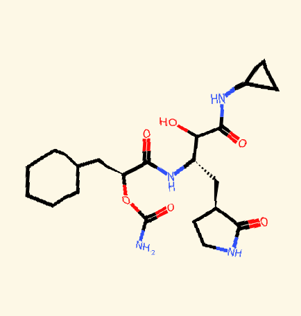 NC(=O)O[C@@H](CC1CCCCC1)C(=O)N[C@@H](C[C@@H]1CCNC1=O)C(O)C(=O)NC1CC1